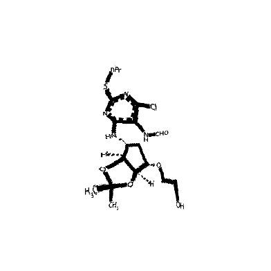 CCCSc1nc(Cl)c(NC=O)c(N[C@@H]2C[C@H](OCCO)[C@H]3OC(C)(C)O[C@H]32)n1